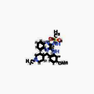 COc1ccc(CC2CCN(C)CC2)c(Nc2nc3ccccc3nc2NS(C)(=O)=O)c1